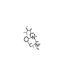 C=C[N+](=C)C1C(=C)C[n+]2ccc(C(=C)/C(=C\C)C(C)C)cc2-c2ccccc2CCC1C